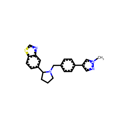 Cn1cc(-c2ccc(CN3CCCC3c3ccc4scnc4c3)cc2)cn1